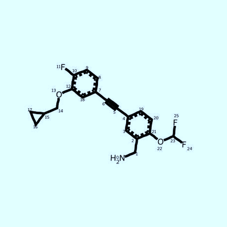 NCc1cc(C#Cc2ccc(F)c(OCC3CC3)c2)ccc1OC(F)F